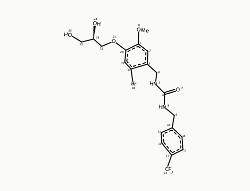 COc1cc(CNC(=O)NCc2ccc(C(F)(F)F)cc2)c(Br)cc1OC[C@H](O)CO